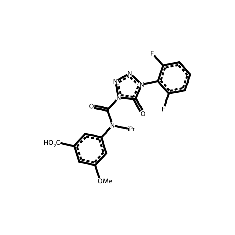 COc1cc(C(=O)O)cc(N(C(=O)n2nnn(-c3c(F)cccc3F)c2=O)C(C)C)c1